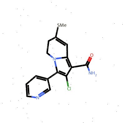 CSC1=Cc2c(C(N)=O)c(Cl)c(-c3cccnc3)n2CC1